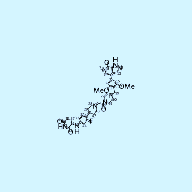 COc1cc(-c2cn(C)c(=O)c3[nH]ncc23)cc(OC)c1CN1CCN(C(=O)CN2CCC(c3ccc(NC4CCC(=O)NC4=O)cc3F)CC2)CC1